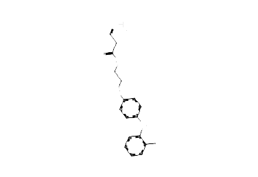 C=CCC(=O)OCCOc1ccc(Oc2ccccc2F)cc1